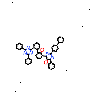 c1ccc(-c2ccc(-c3nc(-c4cccc5c4oc4cccc(-c6nc(-c7ccccc7)nc(-c7ccccc7)n6)c45)c4oc5ccccc5c4n3)cc2)cc1